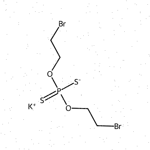 S=P([S-])(OCCBr)OCCBr.[K+]